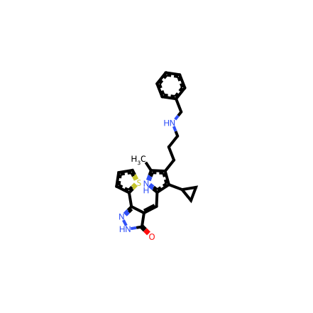 Cc1[nH]c(/C=C2/C(=O)NN=C2c2cccs2)c(C2CC2)c1CCCNCc1ccccc1